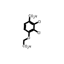 O=C(O)COc1ccc(C(=O)O)c(Cl)c1Cl